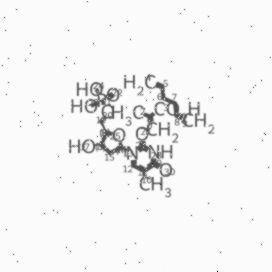 C=C(C)C(=O)O.C=CCCC=C.Cc1cn([C@H]2C[C@H](O)[C@@H](COP(=O)(O)O)O2)c(=O)[nH]c1=O